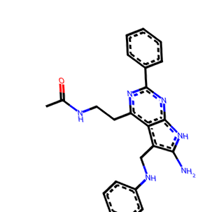 CC(=O)NCCc1nc(-c2ccccc2)nc2[nH]c(N)c(CNc3ccccc3)c12